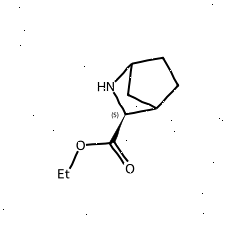 CCOC(=O)[C@H]1NC2CCC1C2